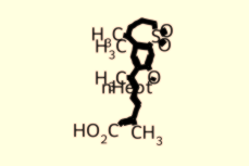 CCCCCCCOc1cc2c(cc1C(C)=CC=CC(C)=CC(=O)O)C(C)(C)CCCS2(=O)=O